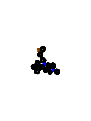 c1ccc(N2c3ccccc3C3(c4ccccc4-c4c(N(c5ccc(-c6ccc7sc8ccccc8c7c6)cc5)c5ccc6c(c5)C(c5ccccc5)(c5ccccc5)c5ccccc5-6)cccc43)c3ccccc32)cc1